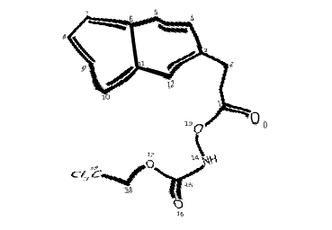 O=C(Cc1ccc2ccccc2c1)ONC(=O)OCC(Cl)(Cl)Cl